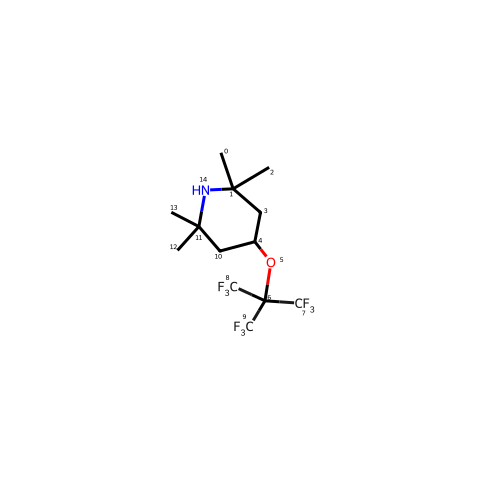 CC1(C)CC(OC(C(F)(F)F)(C(F)(F)F)C(F)(F)F)CC(C)(C)N1